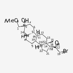 COC[C@@]1(O)CCC2[C@H](CCC3[C@@H]2CC[C@]2(C)[C@@H](C(=O)CBr)CC[C@@H]32)C1